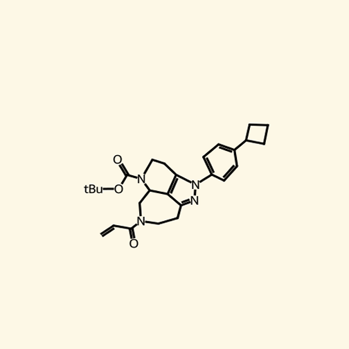 C=CC(=O)N1CCc2nn(-c3ccc(C4CCC4)cc3)c3c2C(C1)N(C(=O)OC(C)(C)C)CC3